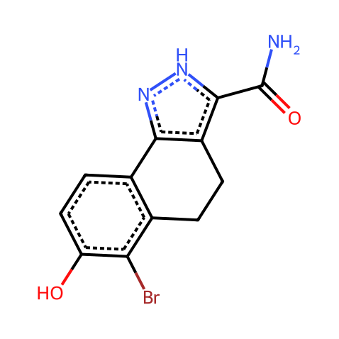 NC(=O)c1[nH]nc2c1CCc1c-2ccc(O)c1Br